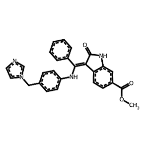 COC(=O)c1ccc2c(c1)NC(=O)C2=C(Nc1ccc(Cn2ccnc2)cc1)c1ccccc1